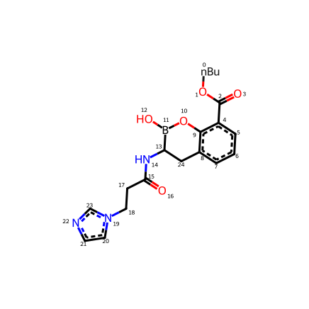 CCCCOC(=O)c1cccc2c1OB(O)C(NC(=O)CCn1ccnc1)C2